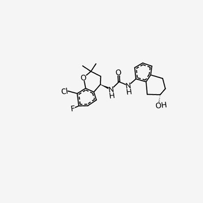 CC1(C)C[C@@H](NC(=O)Nc2cccc3c2C[C@@H](O)CC3)c2ccc(F)c(Cl)c2O1